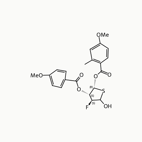 COc1ccc(C(=O)O[C@@H]2[C@H](OC(=O)c3ccc(OC)cc3C)SC(O)[C@H]2F)cc1